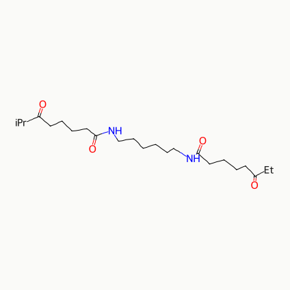 CCC(=O)CCCCC(=O)NCCCCCCNC(=O)CCCCC(=O)C(C)C